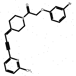 Cc1cccc(C#CC=C2CCN(C(=O)COc3cccc(Br)c3)CC2)n1